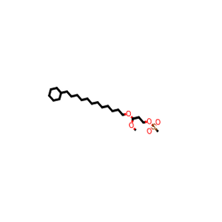 COC(CCOS(C)(=O)=O)OCCCCCCCCCCCCC1CCCCC1